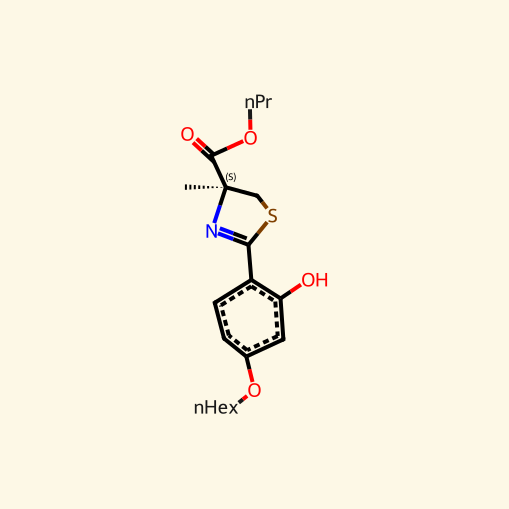 CCCCCCOc1ccc(C2=N[C@@](C)(C(=O)OCCC)CS2)c(O)c1